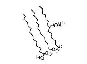 CCCCCCCCCCCCCC(=O)O.CCCCCCCCCCCCCC(=O)[O-].CCCCCCCCCCCCCC(=O)[O-].[Al+3].[OH-]